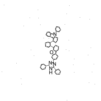 c1ccc(C2=NC(c3ccc4c(c3)oc3c(-c5ccccc5-c5cccc6c5c5ccccc5n6-c5ccccc5)cccc34)=NC(c3ccccc3)N2)cc1